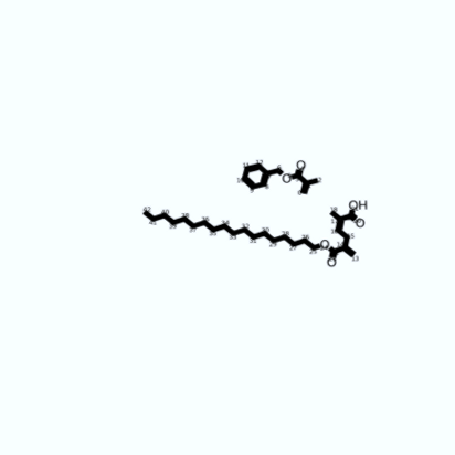 C=C(C)C(=O)OCc1ccccc1.C=C(CC=C(C)C(=O)O)C(=O)OCCCCCCCCCCCCCCCCCC